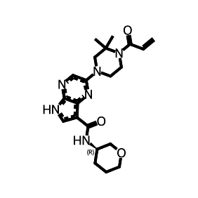 C=CC(=O)N1CCN(c2cnc3[nH]cc(C(=O)N[C@@H]4CCCOC4)c3n2)CC1(C)C